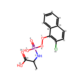 CC(NP(=O)(O)OOc1c(Cl)ccc2ccccc12)C(=O)O